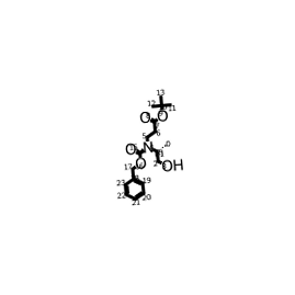 C[C@H](CO)N(CCC(=O)OC(C)(C)C)C(=O)OCc1ccccc1